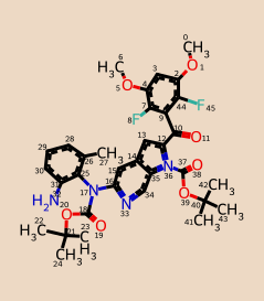 COc1cc(OC)c(F)c(C(=O)c2cc3cc(N(C(=O)OC(C)(C)C)c4c(C)cccc4N)ncc3n2C(=O)OC(C)(C)C)c1F